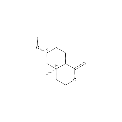 CO[C@@H]1CCC2C(=O)OCC[C@H]2C1